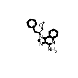 COC[C@H](Cc1ccccc1)n1cnc2c(N)nc3ccccc3c21